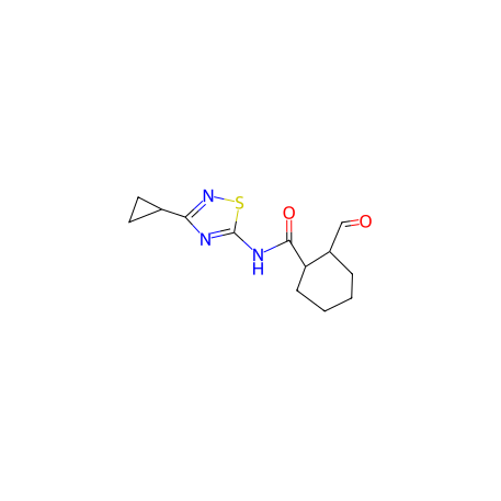 O=CC1CCCCC1C(=O)Nc1nc(C2CC2)ns1